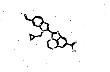 C=Cc1ccc2cc(-c3nc4cc(C(=O)O)cc5c4n3CCO5)n(CC3CC3)c2c1